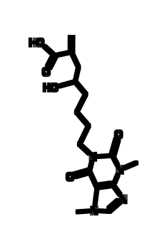 C=C(CC(O)CCCCn1c(=O)c2c(ncn2C)n(C)c1=O)C(=O)O